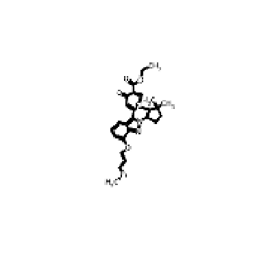 CCOC(=O)c1cn2c(cc1=O)-c1c3cccc(OCCCOC)c3nn1C1CCC(C)(C)C12